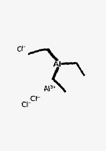 C[CH2][Al]([CH2]C)[CH2]C.[Al+3].[Cl-].[Cl-].[Cl-]